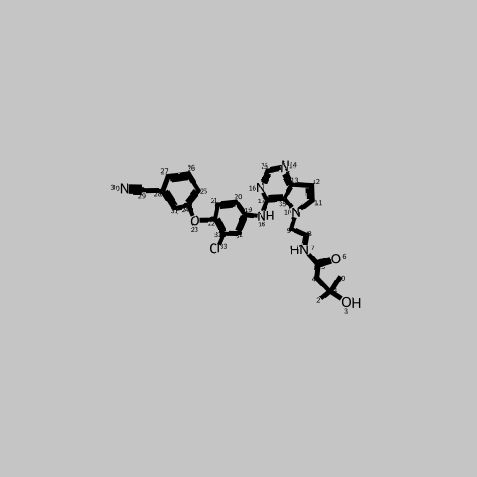 CC(C)(O)CC(=O)NCCn1ccc2ncnc(Nc3ccc(Oc4cccc(C#N)c4)c(Cl)c3)c21